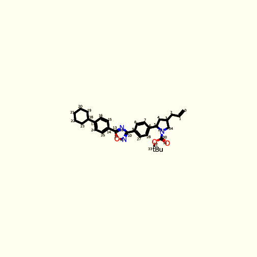 C=CCC1CC(c2ccc(-c3noc(-c4ccc(C5CCCCC5)cc4)n3)cc2)N(C(=O)OC(C)(C)C)C1